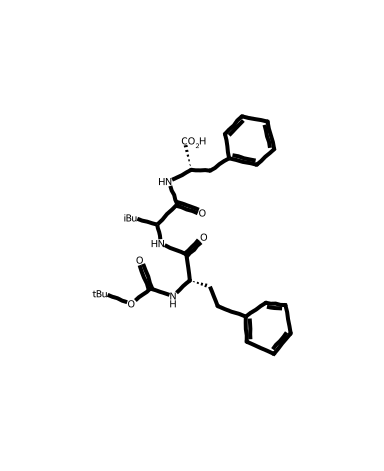 CCC(C)C(NC(=O)[C@H](CCc1ccccc1)NC(=O)OC(C)(C)C)C(=O)N[C@@H](Cc1ccccc1)C(=O)O